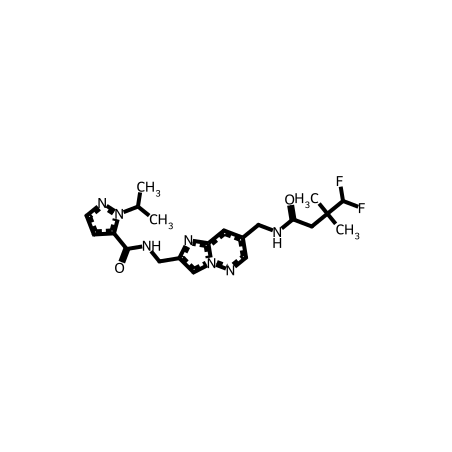 CC(C)n1nccc1C(=O)NCc1cn2ncc(CNC(=O)CC(C)(C)C(F)F)cc2n1